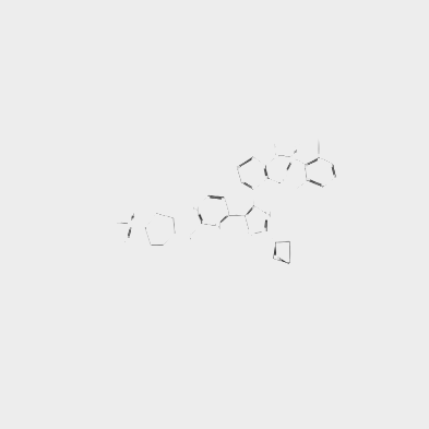 Cc1cccc(F)c1S(=O)(=O)Nc1cccc(-c2nc(C34CC(C3)C4)sc2-c2ccnc(N[C@H]3CC[C@@H](S(C)(=O)=O)CC3)n2)c1F